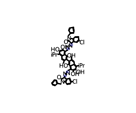 Cc1cc2c(C(C)C)c(O)c(O)c(/C=N/N=C3\C(=O)N(Cc4ccccc4)c4ccc(Cl)cc43)c2c(O)c1-c1c(C)cc2c(C(C)C)c(O)c(O)c(/C=N/N=C3/C(=O)N(Cc4ccccc4)c4ccc(Cl)cc43)c2c1O